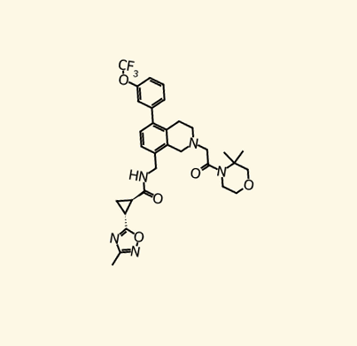 Cc1noc([C@@H]2C[C@H]2C(=O)NCc2ccc(-c3cccc(OC(F)(F)F)c3)c3c2CN(CC(=O)N2CCOCC2(C)C)CC3)n1